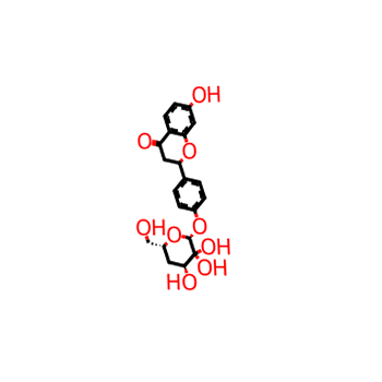 O=C1CC(c2ccc(O[C@@H]3O[C@@H](CO)C[C@H](O)C3(O)O)cc2)Oc2cc(O)ccc21